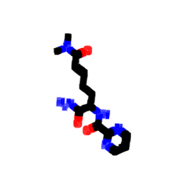 CN(C)C(=O)C=CCCC(NC(=O)c1ncccn1)C(N)=O